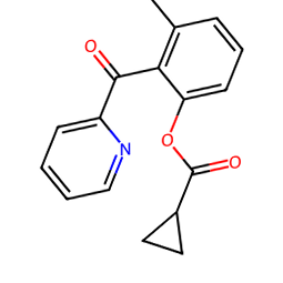 Cc1cccc(OC(=O)C2CC2)c1C(=O)c1ccccn1